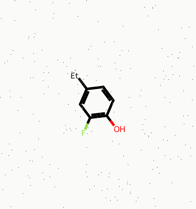 CCc1ccc(O)c(F)c1